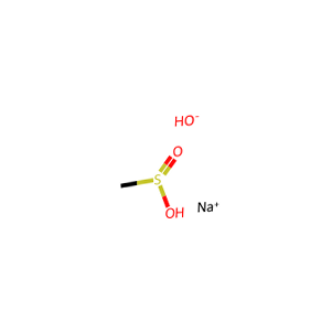 CS(=O)O.[Na+].[OH-]